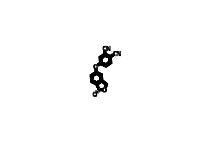 N#Cc1ccc(Oc2ccc3c(c2)COS3=O)cc1C#N